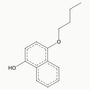 CCCCOc1ccc(O)c2ccccc12